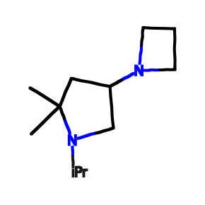 CC(C)N1CC(N2CCC2)CC1(C)C